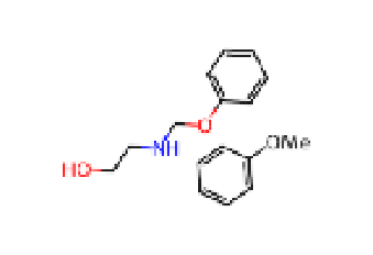 COc1ccccc1.OCCNCOc1ccccc1